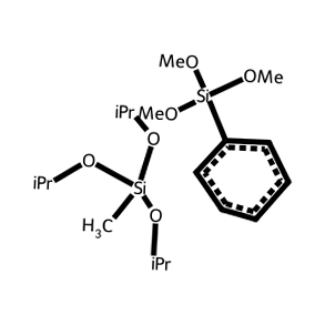 CC(C)O[Si](C)(OC(C)C)OC(C)C.CO[Si](OC)(OC)c1ccccc1